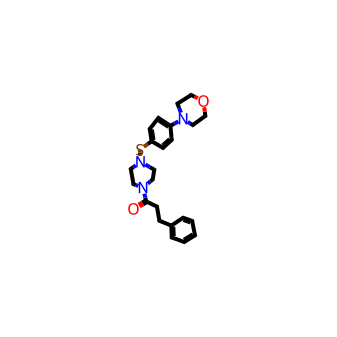 O=C(CCc1ccccc1)N1CCN(Sc2ccc(N3CCOCC3)cc2)CC1